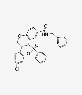 O=C(NCc1ccccc1)c1ccc2c(c1)N(S(=O)(=O)c1ccccc1)C(c1ccc(Cl)cc1)CO2